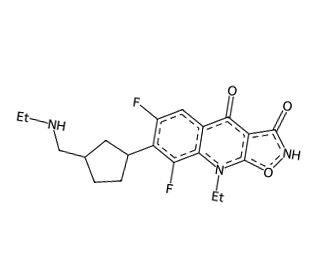 CCNCC1CCC(c2c(F)cc3c(=O)c4c(=O)[nH]oc4n(CC)c3c2F)C1